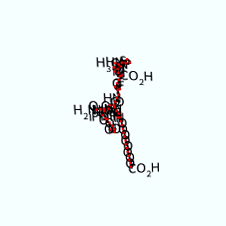 Cc1c(Nc2nc3ccccc3s2)nnc2c1CCCN2c1nc(C(=O)O)c(CCCOc2ccc(C#CCNC(=O)OCc3ccc(NC(=O)[C@H](CCCNC(N)=O)NC(=O)C(NC(=O)CCOCCN4C(=O)C=CC4=O)C(C)C)cc3COCc3cn(CCOCCOCCOCCOCCOCCOCCOCCOCCC(=O)O)nn3)cc2F)s1